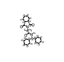 CN(C(=O)C(C)(C)N1C(=O)c2ccccc2C1=O)C(c1ccccc1)c1ccccc1